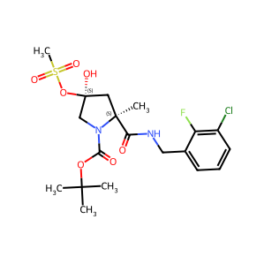 CC(C)(C)OC(=O)N1C[C@@](O)(OS(C)(=O)=O)C[C@@]1(C)C(=O)NCc1cccc(Cl)c1F